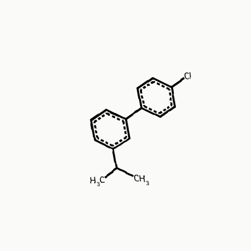 CC(C)c1cccc(-c2ccc(Cl)cc2)c1